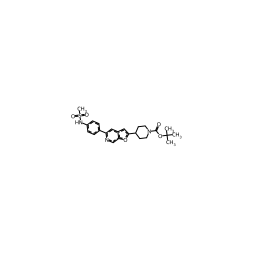 CC(C)(C)OC(=O)N1CCC(c2cc3cc(-c4ccc(NS(C)(=O)=O)cc4)ncc3o2)CC1